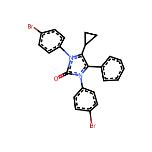 O=c1n(-c2ccc(Br)cc2)c(-c2ccccc2)c(C2CC2)n1-c1ccc(Br)cc1